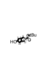 CC(C)(C)OC(=O)N1C=C2C=C(O)C=C2C1